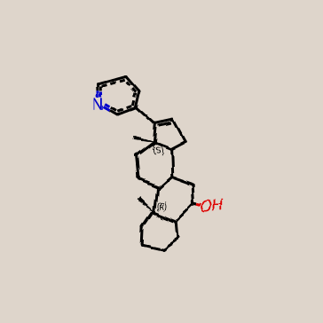 C[C@]12CCCCC1C(O)CC1C2CC[C@]2(C)C(c3cccnc3)=CCC12